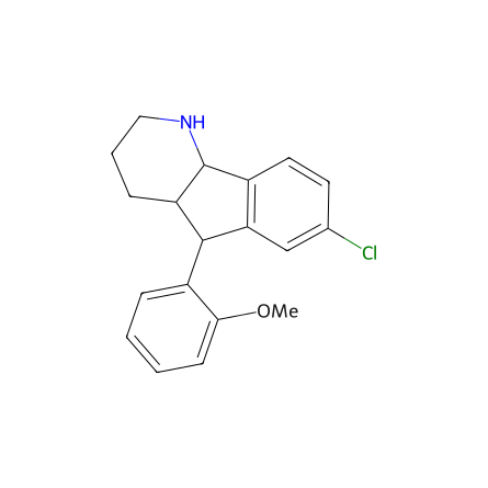 COc1ccccc1C1c2cc(Cl)ccc2C2NCCCC21